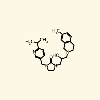 Cc1ccc2c(c1)CN(CC(O)CN1CCN(Cc3ccc(C(C)C)nc3)C1=O)CC2